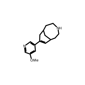 COc1cncc(C2=CC3CCNCCC(C2)C3)c1